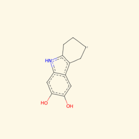 Oc1cc2[nH]c3c(c2cc1O)C[C]CC3